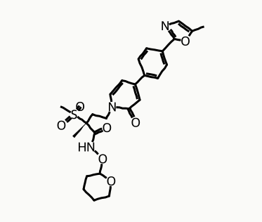 Cc1cnc(-c2ccc(-c3ccn(CC[C@](C)(C(=O)NOC4CCCCO4)S(C)(=O)=O)c(=O)c3)cc2)o1